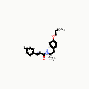 COCCOc1ccc(C[C@H](NC(=O)/C=C/c2ccc(C)cc2)C(=O)O)cc1